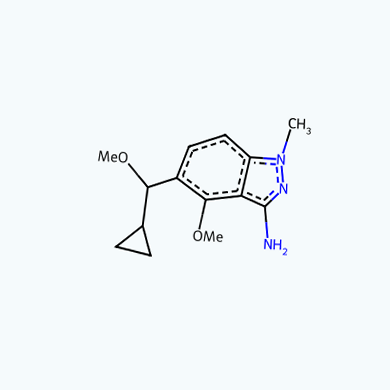 COc1c(C(OC)C2CC2)ccc2c1c(N)nn2C